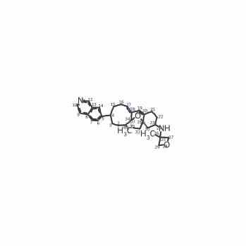 C[C@H]1CCC(c2ccc3ccncc3c2)CC/C=C2/C=C3CCC(NC4(C)COC4)C[C@]34CC[C@@]21O4